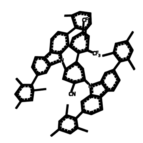 Cc1cc(C)c(-c2ccc3c4ccc(-c5c(C)cc(C)cc5C)cc4n(-c4cc(-c5ccc(C(F)(F)F)cc5C(F)(F)F)c(-n5c6cc(-c7c(C)cccc7C)ccc6c6ccc(-c7c(C)cc(C)cc7C)cc65)cc4C#N)c3c2)c(C)c1